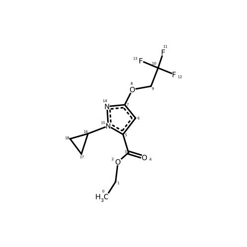 CCOC(=O)c1cc(OCC(F)(F)F)nn1C1CC1